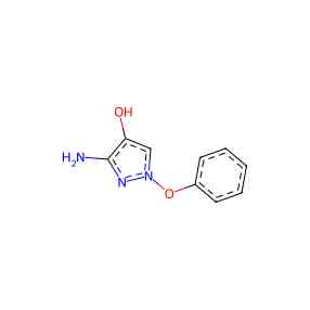 Nc1nn(Oc2ccccc2)cc1O